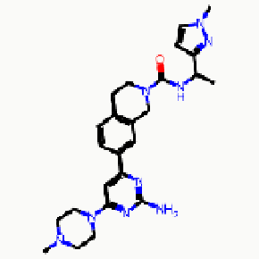 CC(NC(=O)N1CCc2ccc(-c3cc(N4CCN(C)CC4)nc(N)n3)cc2C1)c1ccn(C)n1